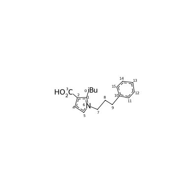 CCC(C)c1c(C(=O)O)ccn1CCCc1ccccc1